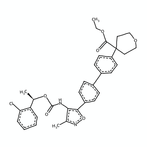 CCOC(=O)C1(c2ccc(-c3ccc(-c4onc(C)c4NC(=O)O[C@H](C)c4ccccc4Cl)cc3)cc2)CCOCC1